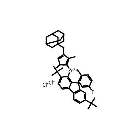 CC1=[C](/[Zr+2](=[CH]/c2ccc(F)cc2)[c]2c(C(C)(C)C)ccc3c2Cc2cc(C(C)(C)C)ccc2-3)C(C)C=C1CC12CC3CC(CC(C3)C1)C2.[Cl-].[Cl-]